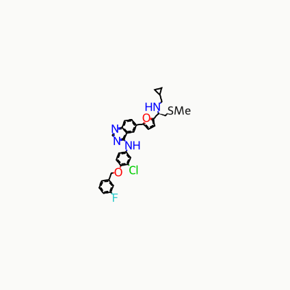 CSC[C@H](NCC1CC1)c1ccc(-c2ccc3ncnc(Nc4ccc(OCc5cccc(F)c5)c(Cl)c4)c3c2)o1